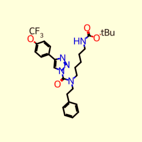 CC(C)(C)OC(=O)NCCCCCN(CCc1ccccc1)C(=O)n1cc(-c2ccc(OC(F)(F)F)cc2)nn1